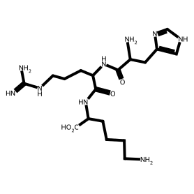 N=C(N)NCCCC(NC(=O)C(N)Cc1c[nH]cn1)C(=O)NC(CCCCN)C(=O)O